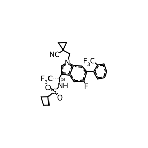 N#CC1(Cn2cc([C@H](NS(=O)(=O)C3CCC3)C(F)(F)F)c3cc(F)c(-c4ccccc4C(F)(F)F)cc32)CC1